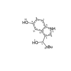 CCCCC(O)c1c[nH]c2ccc(O)cc12